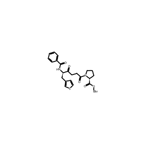 CC(C)(C)OC(=O)[C@@H]1CCCN1C(=O)CCC(=O)[C@@H](Cc1ccsc1)NC(=O)c1ccccc1